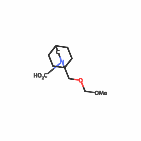 COCOCC12CCC(CC1)CN2C(=O)O